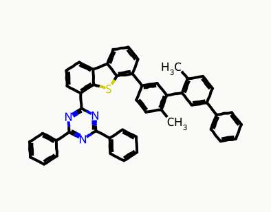 Cc1ccc(-c2ccccc2)cc1-c1cc(-c2cccc3c2sc2c(-c4nc(-c5ccccc5)nc(-c5ccccc5)n4)cccc23)ccc1C